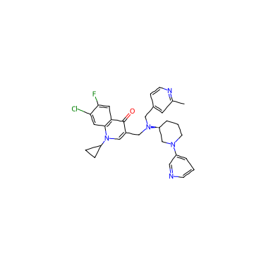 Cc1cc(CN(Cc2cn(C3CC3)c3cc(Cl)c(F)cc3c2=O)[C@H]2CCCN(c3cccnc3)C2)ccn1